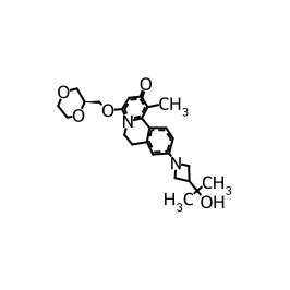 Cc1c2n(c(OC[C@@H]3COCCO3)cc1=O)CCc1cc(N3CC(C(C)(C)O)C3)ccc1-2